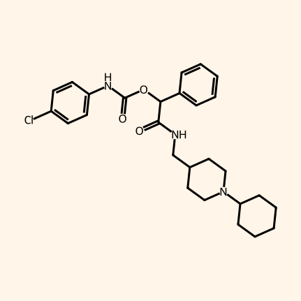 O=C(Nc1ccc(Cl)cc1)OC(C(=O)NCC1CCN(C2CCCCC2)CC1)c1ccccc1